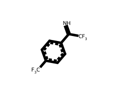 N=C(c1ccc(C(F)(F)F)cc1)C(F)(F)F